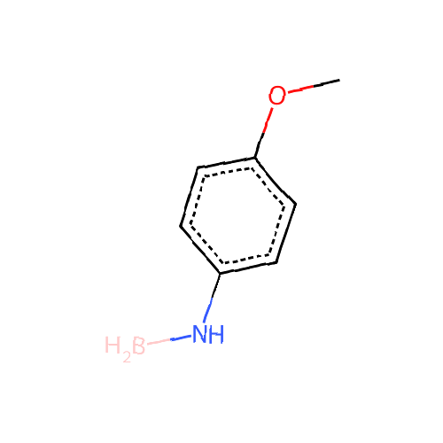 BNc1ccc(OC)cc1